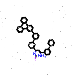 N/C(=C\C(=N/CI)C1=CC(c2cccc(-c3ccc4c5ccccc5c5ccccc5c4c3)c2)=CCC1)c1cccc(-c2ccccc2)c1